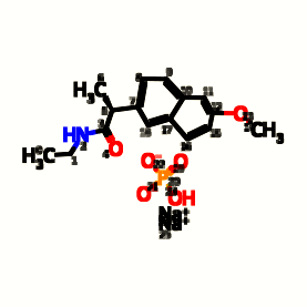 CCNC(=O)[C@@H](C)c1ccc2cc(OC)ccc2c1.O=P([O-])([O-])O.[Na+].[Na+]